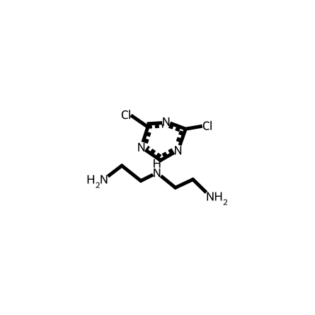 Clc1ncnc(Cl)n1.NCCNCCN